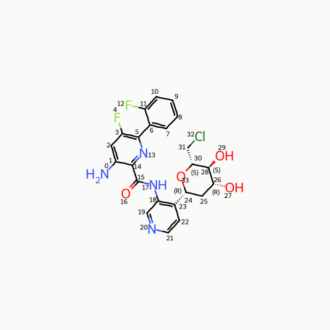 Nc1cc(F)c(-c2ccccc2F)nc1C(=O)Nc1cnccc1[C@H]1C[C@@H](O)[C@H](O)[C@@H](CCl)O1